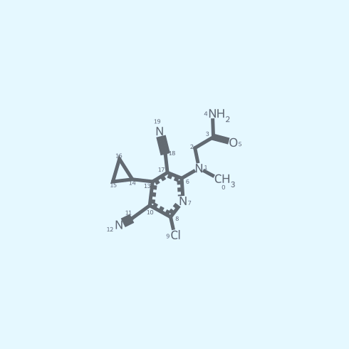 CN(CC(N)=O)c1nc(Cl)c(C#N)c(C2CC2)c1C#N